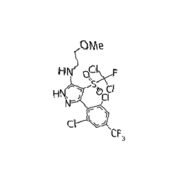 COCCNc1[nH]nc(-c2c(Cl)cc(C(F)(F)F)cc2Cl)c1S(=O)(=O)C(F)(Cl)Cl